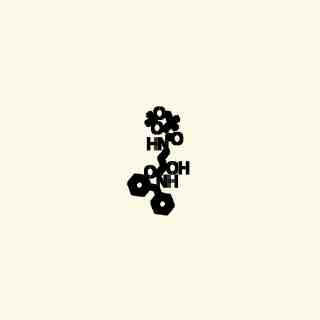 CC1(C)OCC(C)(C)[C@H](C(=O)NCCC(O)C(=O)NC(c2ccccc2)c2ccccc2)O1